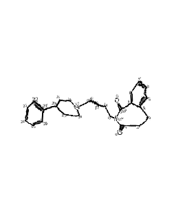 O=C1CCc2ccccc2C(=O)N1CCCCN1CCC(c2ccccc2)CC1